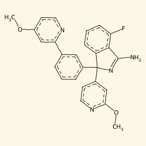 COc1ccnc(-c2cccc(C3(c4ccnc(OC)c4)N=C(N)c4c(F)cccc43)c2)c1